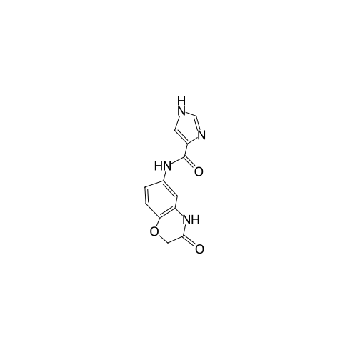 O=C1COc2ccc(NC(=O)c3c[nH]cn3)cc2N1